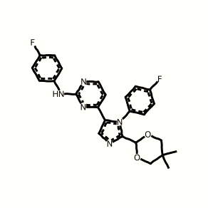 CC1(C)COC(c2ncc(-c3ccnc(Nc4ccc(F)cc4)n3)n2-c2ccc(F)cc2)OC1